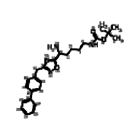 CC(C)(C)OC(=O)NCCCCC(N)c1nc(Cc2ccc(-c3ccccc3)cc2)no1